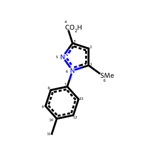 CSc1cc(C(=O)O)nn1-c1ccc(C)cc1